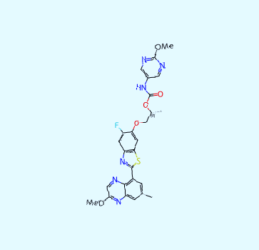 COc1cnc2c(-c3nc4cc(F)c(OC[C@@H](C)OC(=O)Nc5cnc(OC)nc5)cc4s3)cc(C)cc2n1